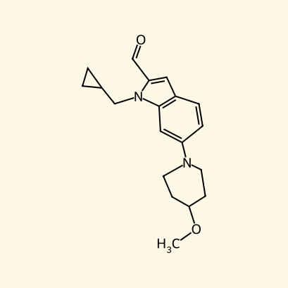 COC1CCN(c2ccc3cc(C=O)n(CC4CC4)c3c2)CC1